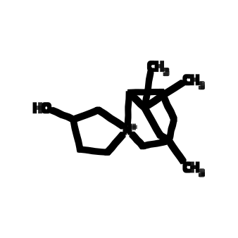 CC12CCC(C(C)(C)C1)[N+]1(CCC(O)C1)C2